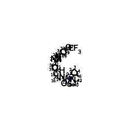 Cc1cccc(C)c1N1/C(=N/C(=O)NCC(C)(C)Cc2ccc(-c3ncn(-c4ccc(OC(F)(F)F)cc4)n3)cc2)SCCC1C